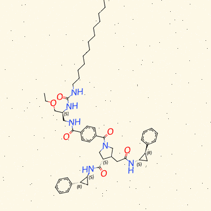 CCCCCCCCCCCCCNC(=O)N[C@@H](CNC(=O)c1ccc(C(=O)N2CC(CC(=O)N[C@H]3C[C@@H]3c3ccccc3)[C@H](C(=O)N[C@H]3C[C@@H]3c3ccccc3)C2)cc1)COCC